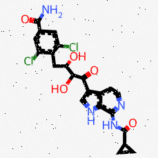 NC(=O)c1cc(Cl)c(CC(O)C(O)C(=O)c2c[nH]c3c(NC(=O)C4CC4)nccc23)c(Cl)c1